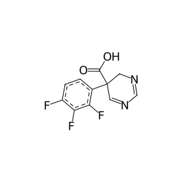 O=C(O)C1(c2ccc(F)c(F)c2F)C=NC=NC1